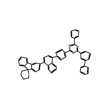 c1ccc(-c2cccc(-c3nc(-c4ccccc4)nc(-c4ccc(-c5ccc(-c6ccc7c(c6)-c6ccccc6C76CCCCC6)c6ccccc56)cc4)n3)c2)cc1